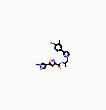 Cc1cc(-c2ccn(CC(C)NC(=O)c3cc(-c4cnn(C)c4)on3)n2)ccc1C#N